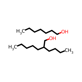 CCCCCC(CO)CCCC.CCCCCCCO